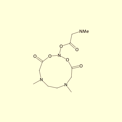 CNCC(=O)ON1OC(=O)CN(C)CCN(C)CC(=O)O1